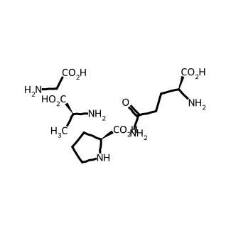 C[C@H](N)C(=O)O.NC(=O)CC[C@H](N)C(=O)O.NCC(=O)O.O=C(O)[C@@H]1CCCN1